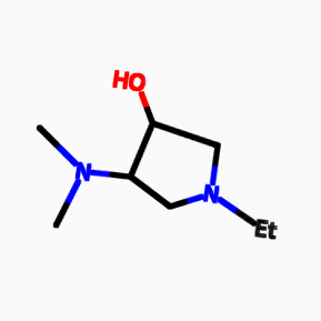 CCN1CC(O)C(N(C)C)C1